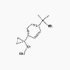 CC(C)(C)NC1(c2ccc(C(C)(C)C(C)(C)C)cc2)CC1